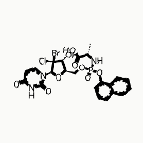 C[C@H](NP(=O)(OC[C@H]1O[C@@H](n2ccc(=O)[nH]c2=O)[C@](Cl)(Br)[C@@H]1O)Oc1cccc2ccccc12)C(=O)O